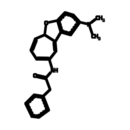 CN(C)c1ccc2c(c1)C1=CC(NC(=O)Cc3ccccc3)=CC=CC1O2